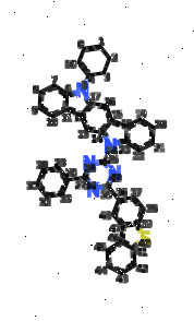 C1=CCCC(n2c3ccccc3c3cc4c(cc32)c2ccccc2n4-c2nc(-c3ccccc3)nc(-c3ccc4sc5ccccc5c4c3)n2)=C1